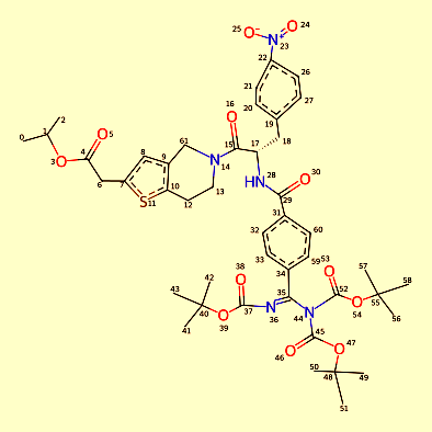 CC(C)OC(=O)Cc1cc2c(s1)CCN(C(=O)[C@H](Cc1ccc([N+](=O)[O-])cc1)NC(=O)c1ccc(C(=NC(=O)OC(C)(C)C)N(C(=O)OC(C)(C)C)C(=O)OC(C)(C)C)cc1)C2